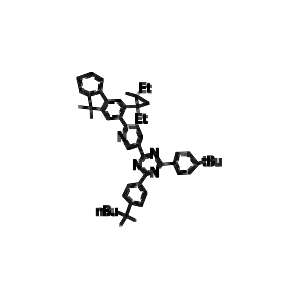 CCCCC(C)(C)c1ccc(-c2nc(-c3ccc(C(C)(C)C)cc3)nc(-c3ccc(-c4cc5c(cc4C4(CC)C[C@@]4(C)CC)-c4ccccc4C5(C)C)nc3)n2)cc1